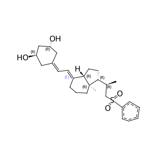 C[C@@H](CS(=O)(=O)c1ccccc1)[C@H]1CC[C@H]2/C(=C/C=C3C[C@@H](O)C[C@H](O)C3)CCC[C@]12C